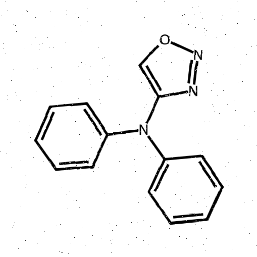 c1ccc(N(c2ccccc2)c2conn2)cc1